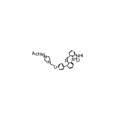 CC(=O)NN1CCN(CCOc2ccc(-c3cccc4c3N=Cc3cccc5[nH]c(=O)n-4c35)cc2)CC1